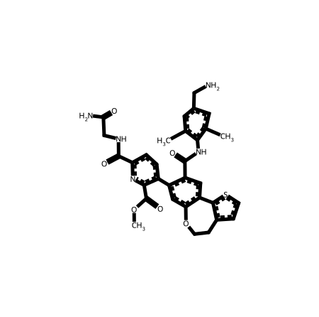 COC(=O)c1nc(C(=O)NCC(N)=O)ccc1-c1cc2c(cc1C(=O)Nc1c(C)cc(CN)cc1C)-c1sccc1CCO2